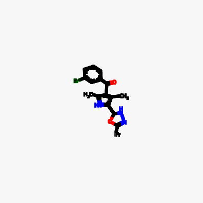 Cc1[nH]c(C2NN=C(C(C)C)O2)c(C)c1C(=O)c1cccc(Br)c1